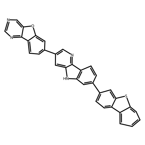 c1ccc2c(c1)sc1cc(-c3ccc4c(c3)[nH]c3cc(-c5ccc6c(c5)oc5cncnc56)cnc34)ccc12